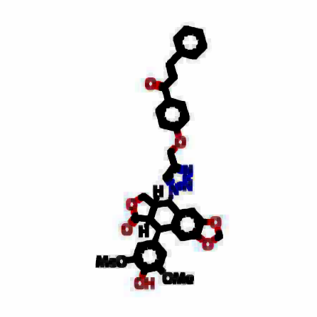 COc1cc([C@@H]2c3cc4c(cc3[C@@H](n3cc(COc5ccc(C(=O)/C=C/c6ccccc6)cc5)nn3)[C@H]3COC(=O)[C@H]23)OCO4)cc(OC)c1O